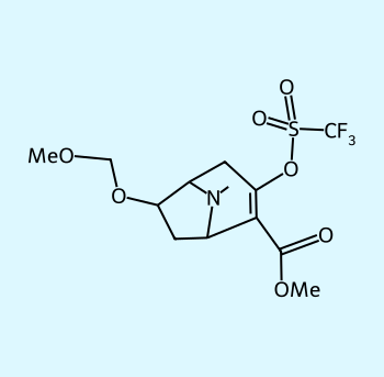 COCOC1CC2C(C(=O)OC)=C(OS(=O)(=O)C(F)(F)F)CC1N2C